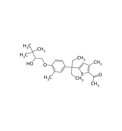 CCC(CC)(c1ccc(OCC(O)C(C)(C)C)c(C)c1)c1cc(C)c(C(C)=O)s1